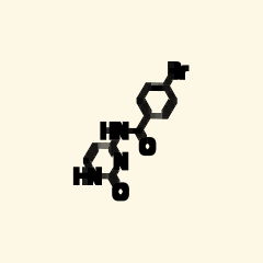 O=C(Nc1cc[nH]c(=O)n1)c1ccc(Br)cc1